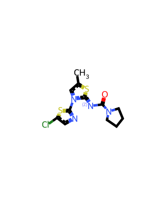 Cc1cn(-c2ncc(Cl)s2)/c(=N/C(=O)N2CCCC2)s1